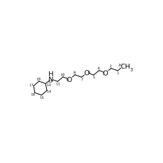 CCCOCCOCCOCCNC1CCCCC1